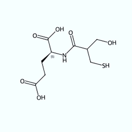 O=C(O)CC[C@H](NC(=O)C(CO)CS)C(=O)O